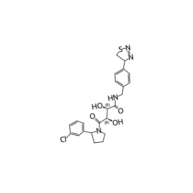 O=C(NCc1ccc(C2CSN=N2)cc1)[C@H](O)[C@@H](O)C(=O)N1CCCC1c1cccc(Cl)c1